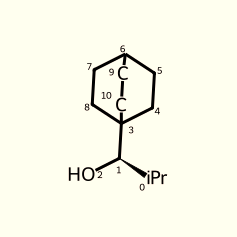 CC(C)[C@@H](O)C12CCC(CC1)CC2